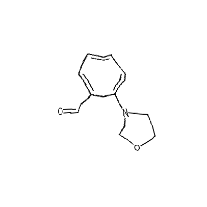 O=Cc1ccccc1N1CCOC1